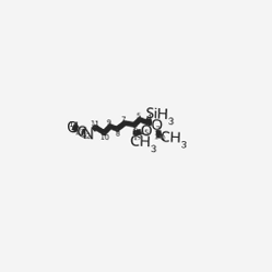 CCOC([SiH3])(CCCCCCCN=C=O)OCC